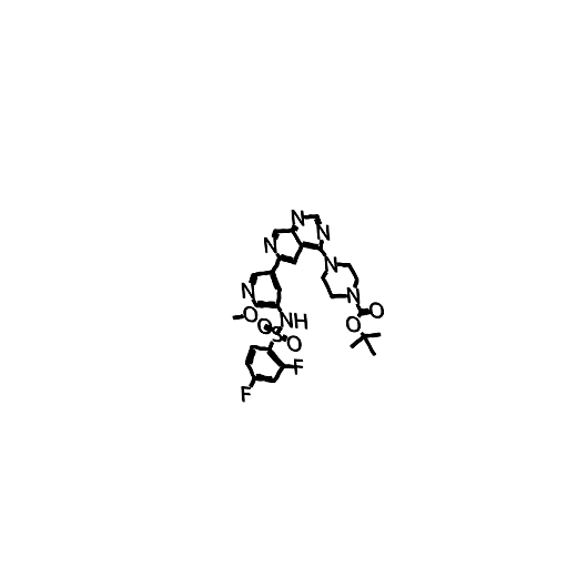 COc1ncc(-c2cc3c(N4CCN(C(=O)OC(C)(C)C)CC4)ncnc3cn2)cc1NS(=O)(=O)c1ccc(F)cc1F